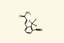 N#Cc1cccc(C=CC(N)=O)c1C(F)(F)F